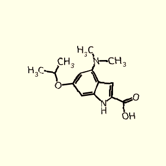 CC(C)Oc1cc(N(C)C)c2cc(C(=O)O)[nH]c2c1